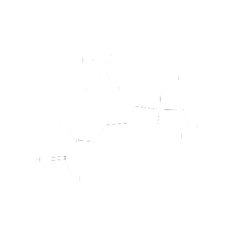 C=C(C)C(=O)OCCC[Si](OC)(OC)OC.O[Si](O)(O)O